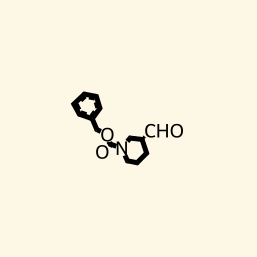 O=C[C@H]1CCCN(C(=O)OCc2ccccc2)C1